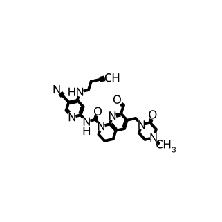 C#CCCNc1cc(NC(=O)N2CCCc3cc(CN4CCN(C)CC4=O)c(C=O)nc32)ncc1C#N